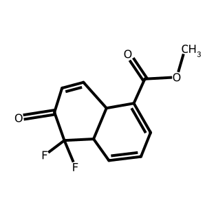 COC(=O)C1=CC=CC2C1C=CC(=O)C2(F)F